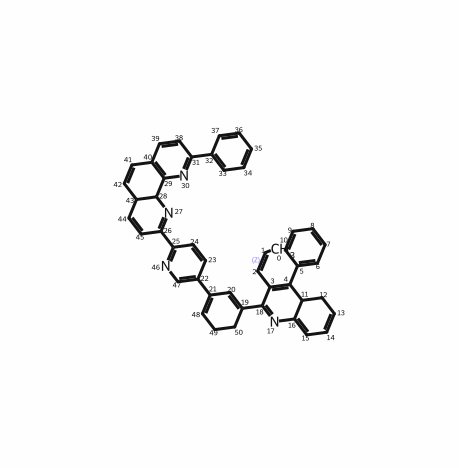 C/C=C\C1=C(c2ccccc2)C2CC=CC=C2N=C1C1=CC(c2ccc(C3=NC4c5nc(-c6ccccc6)ccc5C=CC4C=C3)nc2)=CCC1